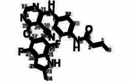 C/C=C/C(=O)Nc1ccc(Nc2ncnc(Oc3cc(F)c4[nH]c(C)cc4c3F)c2C#N)cc1